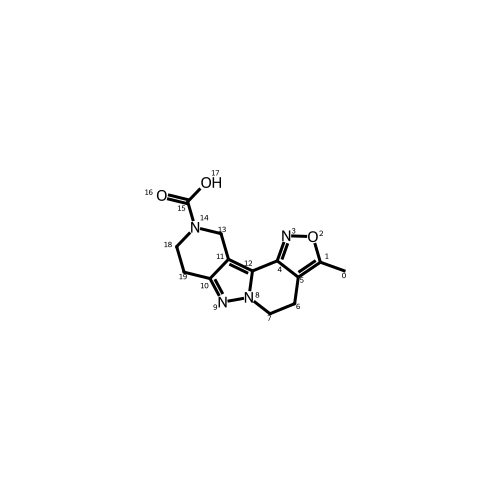 Cc1onc2c1CCn1nc3c(c1-2)CN(C(=O)O)CC3